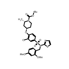 COc1ccc(CN(c2nccs2)S(=O)(=O)c2ccc(O[C@@H]3CCN(C(=O)OC(C)(C)C)[C@@H](C)C3)c(Cl)c2)c(OC)c1